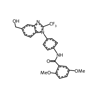 COc1ccc(OC)c(C(=O)Nc2ccc(-n3c(C(F)(F)F)nc4cc(CO)ccc43)cc2)c1